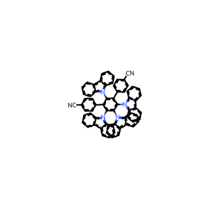 N#Cc1ccc(-c2c(-n3c4ccccc4c4ccccc43)c(-c3ccc(C#N)cc3)c(-n3c4ccccc4c4ccccc43)c(-n3c4ccccc4c4ccccc43)c2-n2c3ccccc3c3ccccc32)cc1